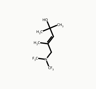 C/C(=C\C(C)(C)O)CN(C(F)(F)F)C(F)(F)F